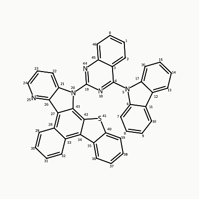 c1ccc2c(-n3c4ccccc4c4ccccc43)nc(-n3c4cccnc4c4c5ccccc5c5c6ccccc6sc5c43)nc2c1